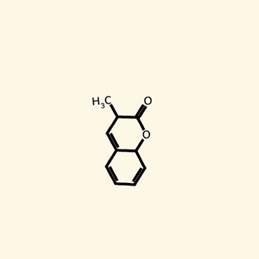 CC1C=C2C=CC=CC2OC1=O